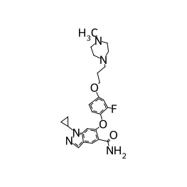 CN1CCN(CCCOc2ccc(Oc3cc4c(cnn4C4CC4)cc3C(N)=O)c(F)c2)CC1